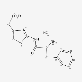 CCOC(=O)Cc1csc(NC(=O)C(N)Cc2ccccc2)n1.Cl